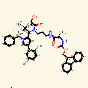 C[C@H](NC(=O)OCC1c2ccccc2-c2ccccc21)C(=O)NCCCN(C(=O)CO)[C@@H](c1cc(-c2cc(F)ccc2F)cn1Cc1ccccc1)C(C)(C)C